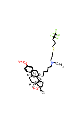 C#C[C@]1(O)CC[C@H]2[C@@H]3[C@H](CCCCCN(C)CCCSCCCC(F)(F)C(F)(F)F)Cc4cc(O)ccc4[C@H]3CC[C@@]21C